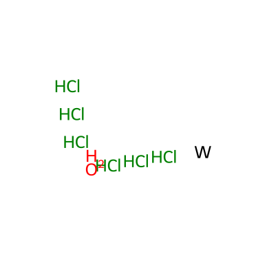 Cl.Cl.Cl.Cl.Cl.Cl.O.[W]